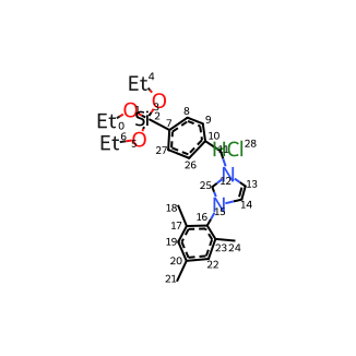 CCO[Si](OCC)(OCC)c1ccc(CN2C=CN(c3c(C)cc(C)cc3C)C2)cc1.Cl